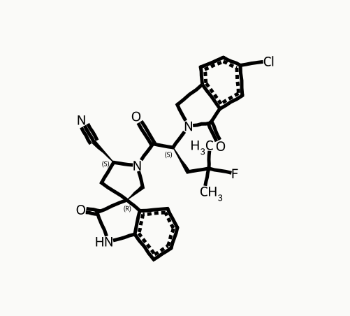 CC(C)(F)C[C@@H](C(=O)N1C[C@]2(C[C@H]1C#N)C(=O)Nc1ccccc12)N1Cc2ccc(Cl)cc2C1=O